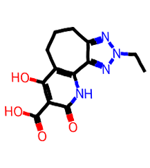 CCn1nc2c(n1)-c1[nH]c(=O)c(C(=O)O)c(O)c1CCC2